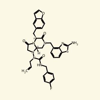 C=CCN(C(=O)NCc1ccc(F)cc1)N1CC(=O)N2[C@@H](Cc3ccc4occc4c3)C(=O)N(Cc3cccc4sc(N)nc34)C[C@@H]21